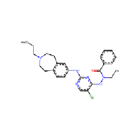 COCCN1CCc2ccc(Nc3ncc(Cl)c(NN(CC(C)C)C(=O)c4ccccc4)n3)cc2CC1